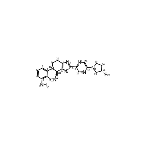 N#Cc1c(N)cccc1N1CCc2nc(-c3cnc(N4CC[C@H](F)C4)cn3)sc2C1=O